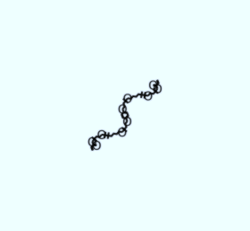 C=CC(=O)OC(C)(C)CCOC(C)(C)C(C)(C)CCCCOC(C)(C)CCOc1ccc(OCCC(C)(C)OCCCCC(C)(C)C(C)(C)OCCC(C)(C)OC(=O)C=C)cc1